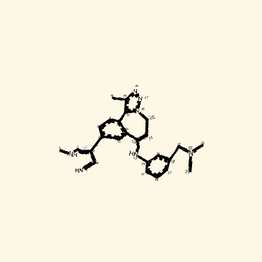 CN/C=C(\C=N)c1ccc2c(c1)C(Nc1cccc(CN(C)C)c1)CCn1nnc(C)c1-2